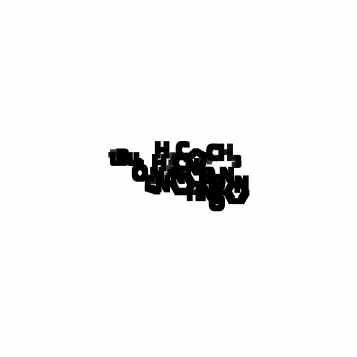 C[C@@H]1CN(c2nc(-n3ccc(OCC(C)(C)C)n3)ccc2C(=O)NS(=O)(=O)c2cccnc2N)C(C)(C)C1